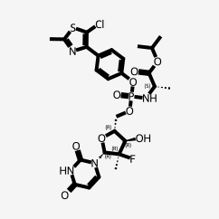 Cc1nc(-c2ccc(OP(=O)(N[C@@H](C)C(=O)OC(C)C)OC[C@H]3O[C@@H](n4ccc(=O)[nH]c4=O)[C@](C)(F)[C@@H]3O)cc2)c(Cl)s1